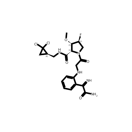 CO[C@H]1[C@@H](C(=O)NC[C@H]2CC2(Cl)Cl)N(C(=O)CNc2ccccc2C(=N)C(N)=O)C[C@@H]1F